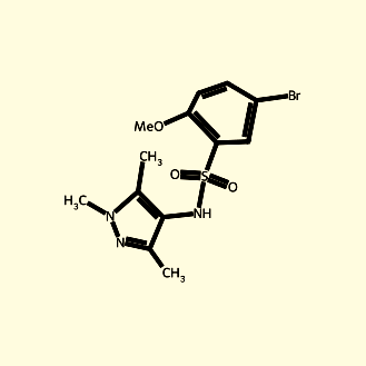 COc1ccc(Br)cc1S(=O)(=O)Nc1c(C)nn(C)c1C